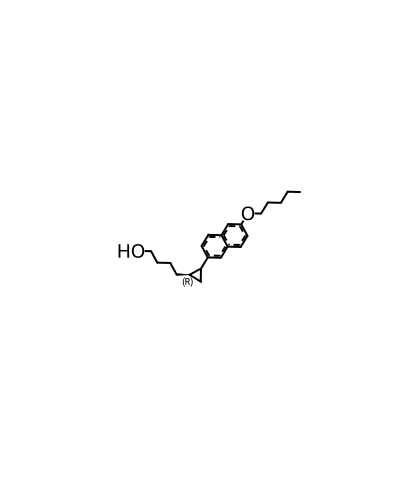 CCCCCOc1ccc2cc(C3C[C@H]3CCCCO)ccc2c1